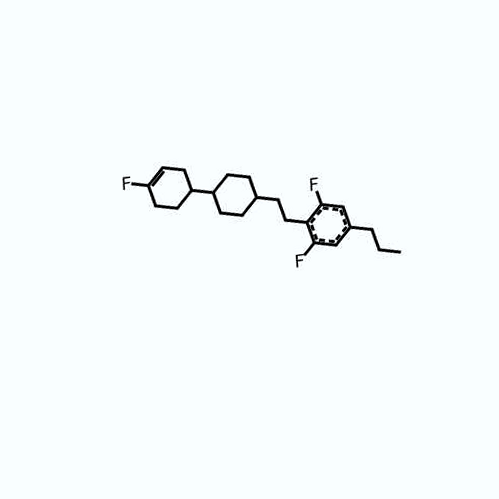 CCCc1cc(F)c(CCC2CCC(C3CC=C(F)CC3)CC2)c(F)c1